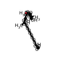 CCCCC[C@H](NC(=O)CCOCCOCCOCCOCCOCCOCCOCCOCCNC(=O)CCN1C(=O)C=CC1=O)C(=O)Nc1ccc(COC(=O)O[C@]2(CC)C(=O)OCc3c2cc2n(c3=O)Cc3c-2nc2ccc(O)cc2c3CC)cc1